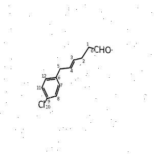 O=[C]CC/C=C/Cc1ccc(Cl)cc1